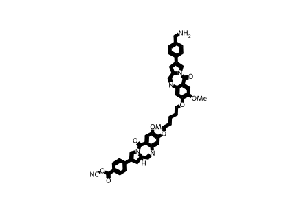 COc1cc2c(cc1OCCCCCOc1cc3c(cc1OC)C(=O)N1C=C(c4ccc(C(=O)OC#N)cc4)C[C@H]1C=N3)N=CC1CC(c3ccc(CN)cc3)=CN1C2=O